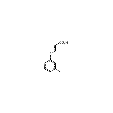 Cc1cccc(SC=CC(=O)O)c1